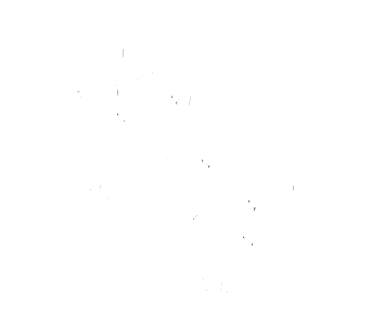 Cc1nn(C)c2nc(C3=NC(C)(C(C)C)C(=O)N3)c(C(=O)O)cc12